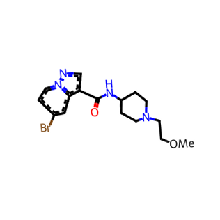 COCCN1CCC(NC(=O)c2cnn3ccc(Br)cc23)CC1